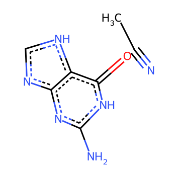 CC#N.Nc1nc2nc[nH]c2c(=O)[nH]1